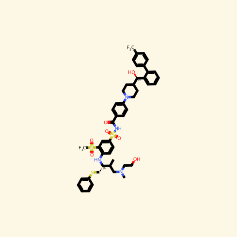 CC(CN(C)CCO)[C@H](CSc1ccccc1)Nc1ccc(S(=O)(=O)NC(=O)c2ccc(N3CCC([C@@H](O)c4ccccc4-c4ccc(C(F)(F)F)cc4)CC3)cc2)cc1S(=O)(=O)C(F)(F)F